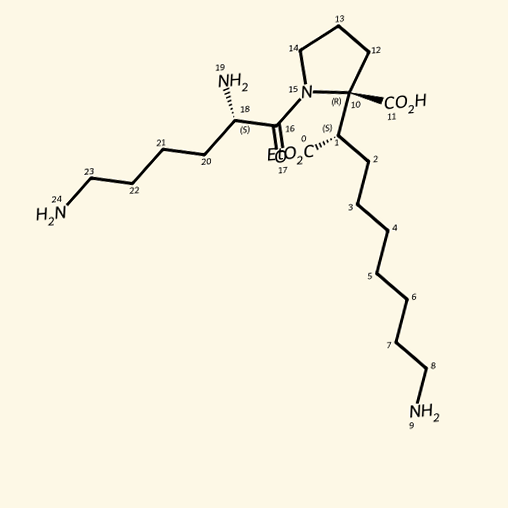 CCOC(=O)[C@@H](CCCCCCCN)[C@@]1(C(=O)O)CCCN1C(=O)[C@@H](N)CCCCN